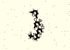 CC1=CC=CC(COc2cc(C)n(-c3cc(-c4nc(C(C)(C)C)ncc4C)ncc3Cl)c(=O)c2Br)O1